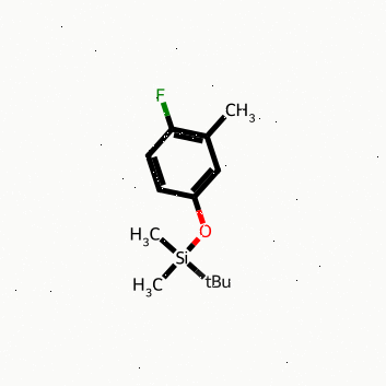 Cc1cc(O[Si](C)(C)C(C)(C)C)ccc1F